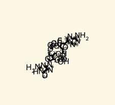 Nc1nc2c(ncn2C2OC3COP(=O)(O)OC4C(COP(=O)(O)OC2C3CO)OC(c2cnc3c(N)ncnn23)C4F)c(=O)[nH]1